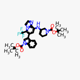 CC(C)(C)OC(=O)N1CCC=C(Nc2cc(-c3cn(C(=O)OC(C)(C)C)c4ccccc34)c(C(F)(F)F)n3ccnc23)C1